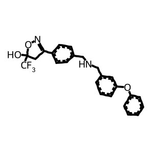 OC1(C(F)(F)F)CC(c2ccc(CNCc3cccc(Oc4ccccc4)c3)cc2)=NO1